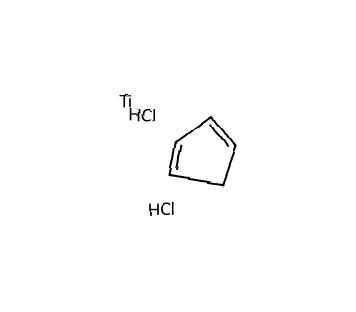 C1=CCC=C1.Cl.Cl.[Ti]